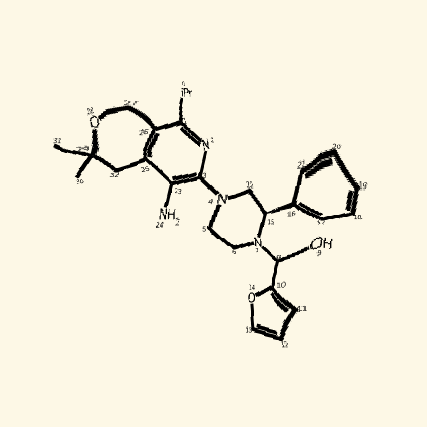 CC(C)c1nc(N2CCN(C(O)c3ccco3)[C@H](c3ccccc3)C2)c(N)c2c1COC(C)(C)C2